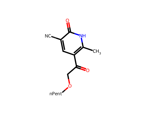 CCCCCOCC(=O)c1cc(C#N)c(=O)[nH]c1C